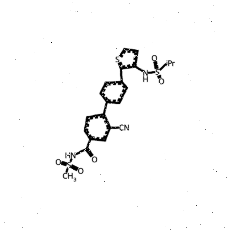 CC(C)S(=O)(=O)Nc1ccsc1-c1ccc(-c2ccc(C(=O)NS(C)(=O)=O)cc2C#N)cc1